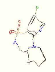 O=S1(=O)NCC2CCCCN2c2ncc(Br)cc21